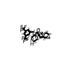 O=C(OCc1cc(C(F)(F)F)cc(C(F)(F)F)c1)C1(N2CCNCC2)C=C2C=NCCN2N1